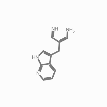 N=C/C(=C\N)Cc1c[nH]c2ncccc12